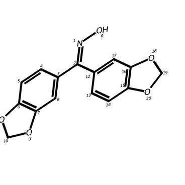 ON=C(c1ccc2c(c1)OCO2)c1ccc2c(c1)OCO2